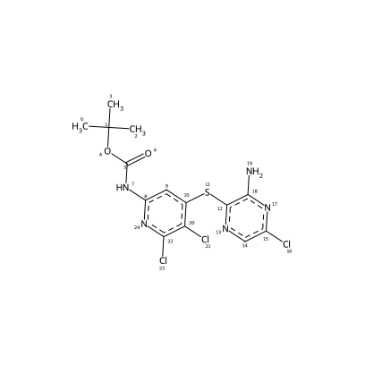 CC(C)(C)OC(=O)Nc1cc(Sc2ncc(Cl)nc2N)c(Cl)c(Cl)n1